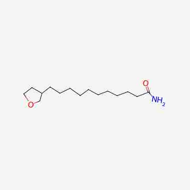 NC(=O)CCCCCCCCCCC1CCOC1